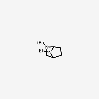 CCN1C2CCC1N(C(C)(C)C)C2